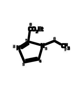 CCOC(=O)c1nccn1CC(F)(F)F